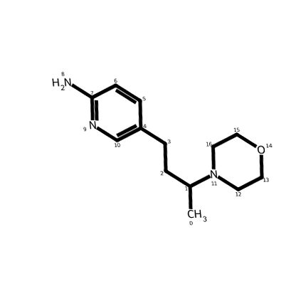 CC(CCc1ccc(N)nc1)N1CCOCC1